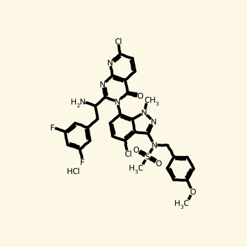 COc1ccc(CN(c2nn(C)c3c(-n4c(C(N)Cc5cc(F)cc(F)c5)nc5nc(Cl)ccc5c4=O)ccc(Cl)c23)S(C)(=O)=O)cc1.Cl